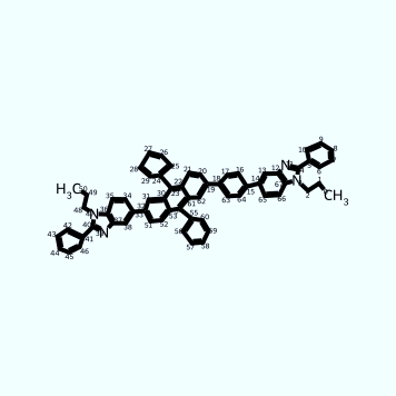 CCCn1c(-c2ccccc2)nc2cc(-c3ccc(-c4ccc5c(-c6ccccc6)c6cc(-c7ccc8c(c7)nc(-c7ccccc7)n8CCC)ccc6c(-c6ccccc6)c5c4)cc3)ccc21